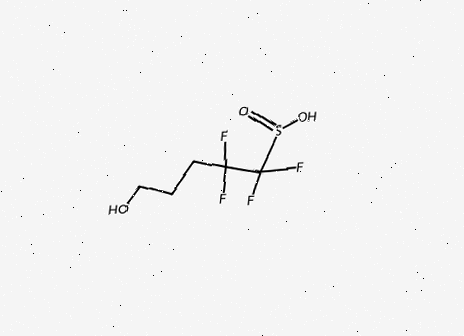 O=S(O)C(F)(F)C(F)(F)CCCO